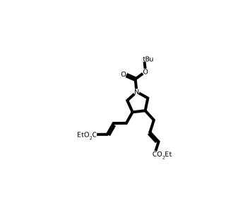 CCOC(=O)/C=C/CC1CN(C(=O)OC(C)(C)C)CC1C/C=C/C(=O)OCC